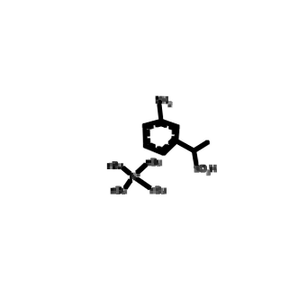 CC(c1cccc(N)c1)S(=O)(=O)O.CCCC[N+](CCCC)(CCCC)CCCC